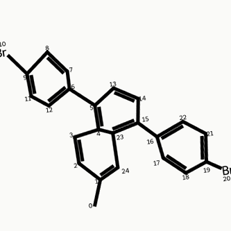 Cc1ccc2c(-c3ccc(Br)cc3)ccc(-c3ccc(Br)cc3)c2c1